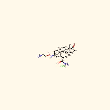 C[C@]12CCC(=NOCCN)CC1[C@@H](C(N)=O)C[C@@H]1[C@@H]2CC[C@]2(C)C(=O)CC[C@@H]12.Cl